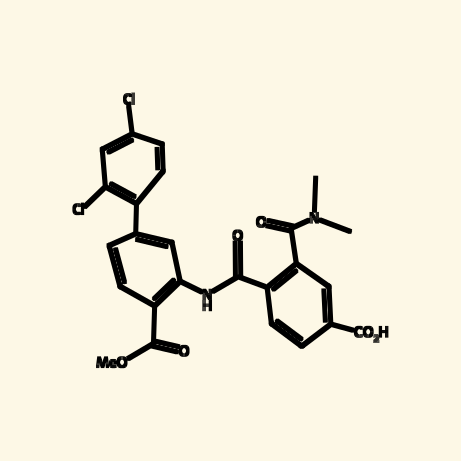 COC(=O)c1ccc(-c2ccc(Cl)cc2Cl)cc1NC(=O)c1ccc(C(=O)O)cc1C(=O)N(C)C